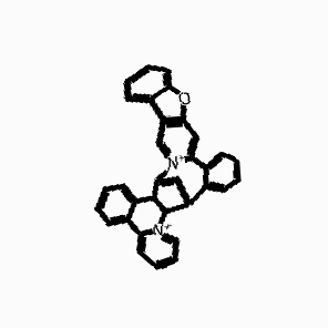 C1=C2C3c4ccccc4-c4cccc[n+]4C3C1c1ccccc1-c1cc3oc4ccccc4c3c[n+]12